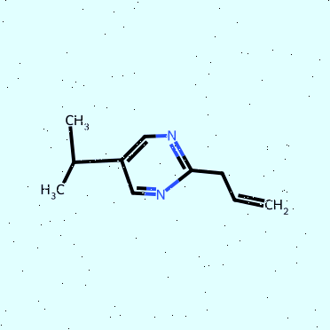 C=CCc1ncc(C(C)C)cn1